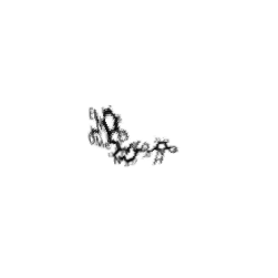 CCN(CCOC)c1cccc2oc(-c3cnc4ccc(OC[C@H]5CCC(=O)N5)nn34)cc12